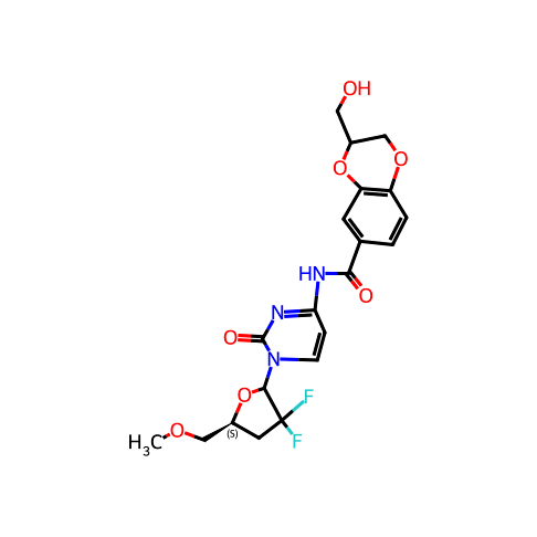 COC[C@@H]1CC(F)(F)C(n2ccc(NC(=O)c3ccc4c(c3)OC(CO)CO4)nc2=O)O1